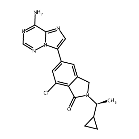 C[C@@H](C1CC1)N1Cc2cc(-c3cnc4c(N)ncnn34)cc(Cl)c2C1=O